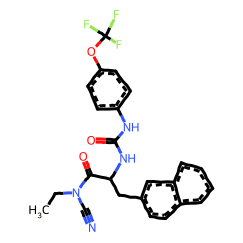 CCN(C#N)C(=O)C(Cc1ccc2ccccc2c1)NC(=O)Nc1ccc(OC(F)(F)F)cc1